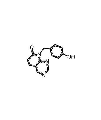 O=c1ccc2cncnc2n1Cc1ccc(O)cc1